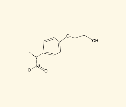 CN(c1ccc(OCCO)cc1)[N+](=O)[O-]